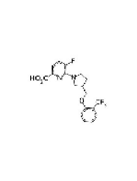 O=C(O)c1ccc(F)c(N2CCC(COc3ccccc3C(F)(F)F)C2)n1